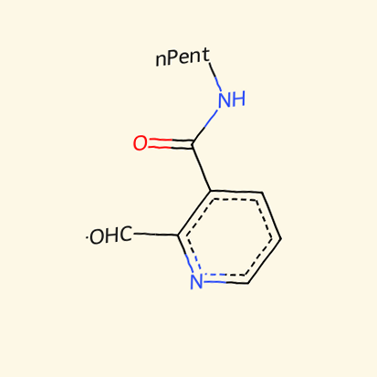 CCCCCNC(=O)c1cccnc1[C]=O